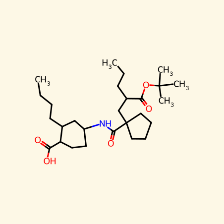 CCCCC1CC(NC(=O)C2(CC(CCC)C(=O)OC(C)(C)C)CCCC2)CCC1C(=O)O